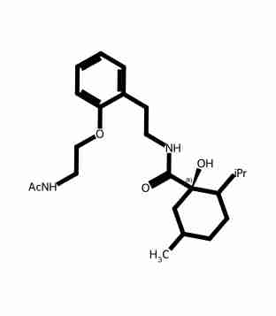 CC(=O)NCCOc1ccccc1CCNC(=O)[C@@]1(O)CC(C)CCC1C(C)C